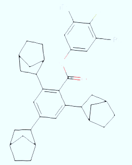 CCC(C)c1cc(OC(=O)c2c(C3CC4CCC3C4)cc(C3CC4CCC3C4)cc2C2CC3CCC2C3)cc(C(C)C)c1S